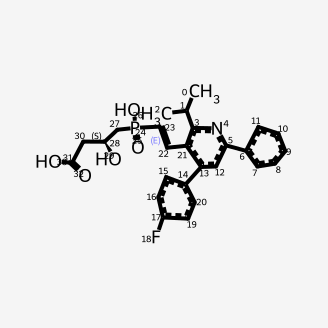 CC(C)c1nc(-c2ccccc2)cc(-c2ccc(F)cc2)c1/C=C/P(=O)(O)C[C@@H](O)CC(=O)O